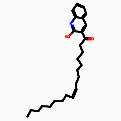 CCCCCCCC/C=C\CCCCCCCC(=O)c1cc2ccccc2nc1O